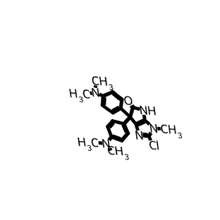 CN(C)c1ccc(C2(c3ccc(N(C)C)cc3)C(=O)Nc3c2nc(Cl)n3C)cc1